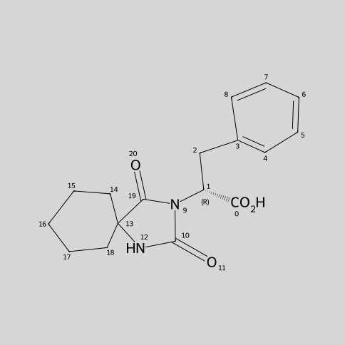 O=C(O)[C@@H](Cc1ccccc1)N1C(=O)NC2(CCCCC2)C1=O